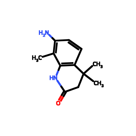 Cc1c(N)ccc2c1NC(=O)CC2(C)C